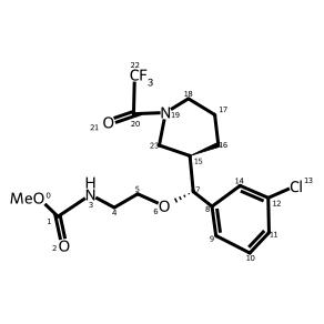 COC(=O)NCCO[C@@H](c1cccc(Cl)c1)[C@@H]1CCCN(C(=O)C(F)(F)F)C1